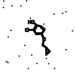 Oc1ccc(OCC2CC2)cc1Cl